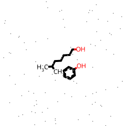 CC(C)CCCCCO.Oc1ccccc1